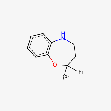 CC(C)C1(C(C)C)CCNc2ccccc2O1